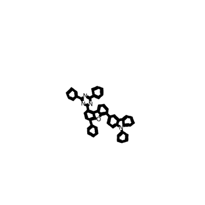 c1ccc(-c2nc(-c3ccccc3)nc(-c3ccc(-c4ccccc4)c4oc5c(-c6ccc7c(c6)c6ccccc6n7-c6ccccc6)cccc5c34)n2)cc1